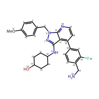 COc1ccc(Cn2nc(NC3CCC(O)CC3)c3c(-c4ccc(CN)c(F)c4)ccnc32)cc1